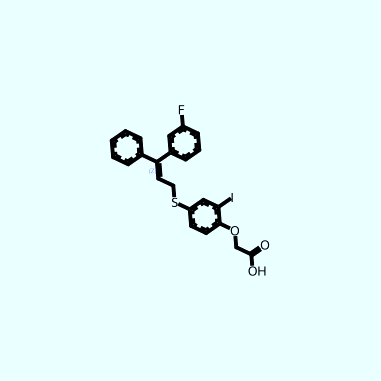 O=C(O)COc1ccc(SC/C=C(/c2ccccc2)c2cccc(F)c2)cc1I